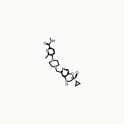 CNC(=O)c1ccc(N2CCN(Cc3cc4c(cn3)O[C@](C=O)(C3CC3)CN4)CC2)c(C)n1